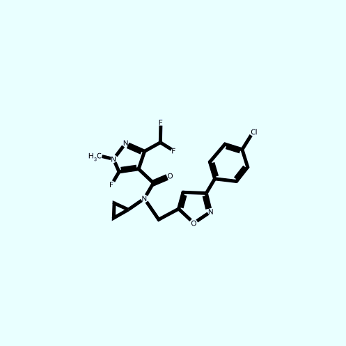 Cn1nc(C(F)F)c(C(=O)N(Cc2cc(-c3ccc(Cl)cc3)no2)C2CC2)c1F